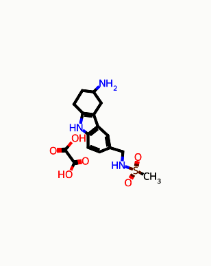 CS(=O)(=O)NCc1ccc2[nH]c3c(c2c1)CC(N)CC3.O=C(O)C(=O)O